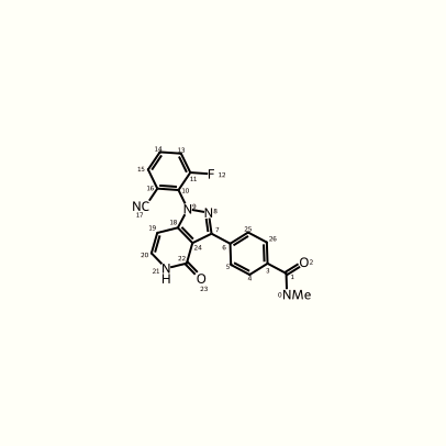 CNC(=O)c1ccc(-c2nn(-c3c(F)cccc3C#N)c3cc[nH]c(=O)c23)cc1